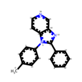 Cc1ccc(-n2c(-c3ccccc3)nc3cnccc32)cc1